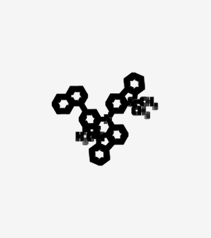 C[Si]1(C)c2ccccc2-c2ccc(N(c3cccc(-c4cccc5ccccc45)c3)c3cccc4c3[Si](C)(C)c3ccccc3-4)cc21